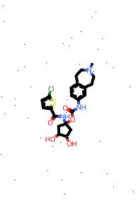 CN1CCc2ccc(NC(=O)OC3(NC(=O)c4ccc(Cl)s4)CC(O)C(O)C3)cc2CC1